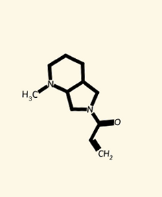 C=CC(=O)N1CC2CCCN(C)C2C1